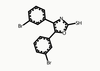 Sc1nc(-c2cccc(Br)c2)c(-c2cccc(Br)c2)o1